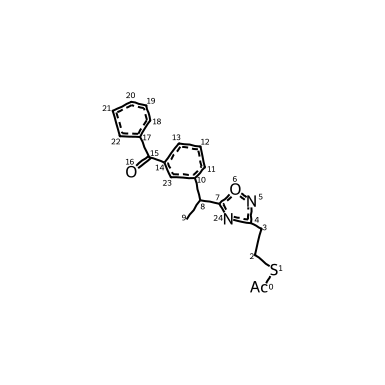 CC(=O)SCCc1noc(C(C)c2cccc(C(=O)c3ccccc3)c2)n1